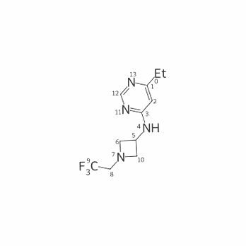 CCc1cc(NC2CN(CC(F)(F)F)C2)ncn1